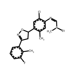 CCN(C)/C=N\c1cc(C)c(C2CC(c3cccc(F)c3C)=NO2)cc1Cl